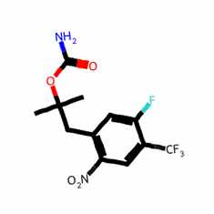 CC(C)(Cc1cc(F)c(C(F)(F)F)cc1[N+](=O)[O-])OC(N)=O